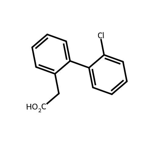 O=C(O)Cc1ccccc1-c1ccccc1Cl